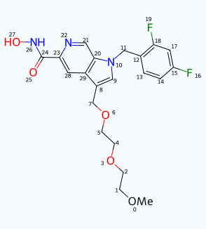 COCCOCCOCc1cn(Cc2ccc(F)cc2F)c2cnc(C(=O)NO)cc12